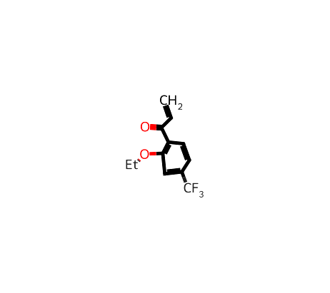 C=CC(=O)c1ccc(C(F)(F)F)cc1OCC